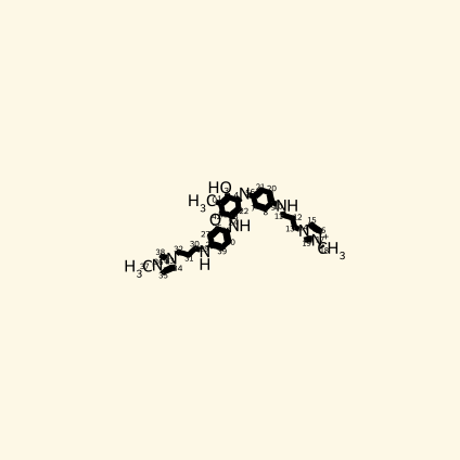 CC1=C(O)C(=Nc2ccc(NCCCn3cc[n+](C)c3)cc2)C=C(Nc2ccc(NCCCn3cc[n+](C)c3)cc2)C1=O